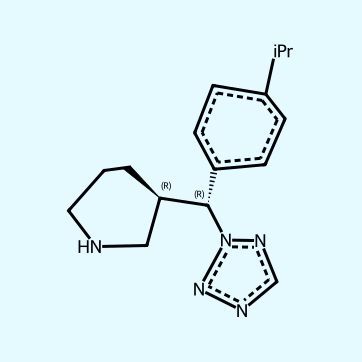 CC(C)c1ccc([C@@H]([C@@H]2CCCNC2)n2ncnn2)cc1